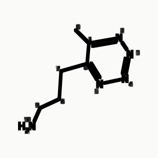 Cc1nnnnc1CCCN